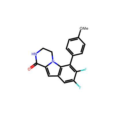 COc1ccc(-c2c(F)c(F)cc3cc4n(c23)CCNC4=O)cc1